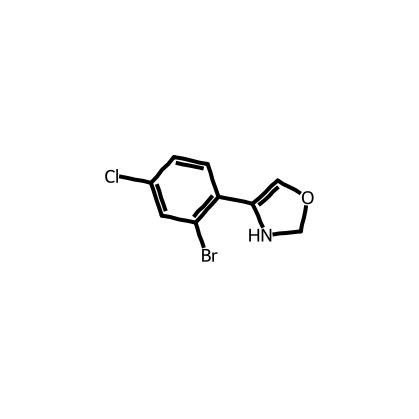 Clc1ccc(C2=COCN2)c(Br)c1